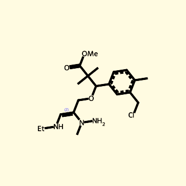 CCN/C=C(/COC(c1ccc(C)c(CCl)c1)C(C)(C)C(=O)OC)N(C)N